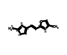 Cc1coc(C=Cc2csc(N)n2)n1